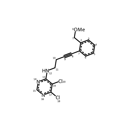 COCc1ccccc1C#CCCNc1ncnc(Cl)c1Cl